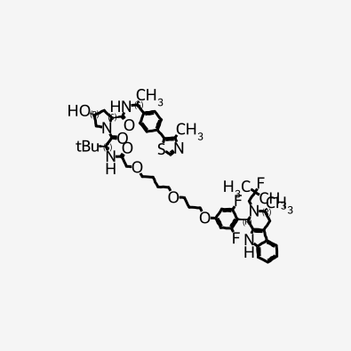 Cc1ncsc1-c1ccc([C@H](C)NC(=O)[C@@H]2C[C@@H](O)CN2C(=O)[C@@H](NC(=O)COCCCCOCCCOc2cc(F)c([C@@H]3c4[nH]c5ccccc5c4C[C@@H](C)N3CC(C)(C)F)c(F)c2)C(C)(C)C)cc1